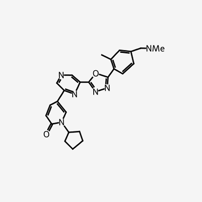 CNCc1ccc(-c2nnc(-c3cncc(-c4ccc(=O)n(C5CCCC5)c4)n3)o2)c(C)c1